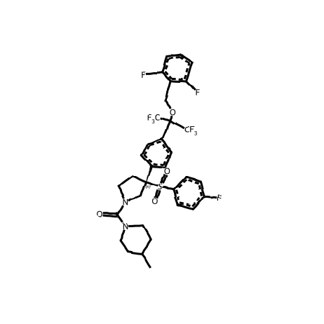 CC1CCN(C(=O)N2CC[C@](c3ccc(C(OCc4c(F)cccc4F)(C(F)(F)F)C(F)(F)F)cc3)(S(=O)(=O)c3ccc(F)cc3)C2)CC1